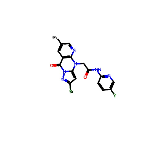 CC(C)c1cnc2c(c1)c(=O)n1nc(Br)cc1n2CC(=O)Nc1ccc(F)cn1